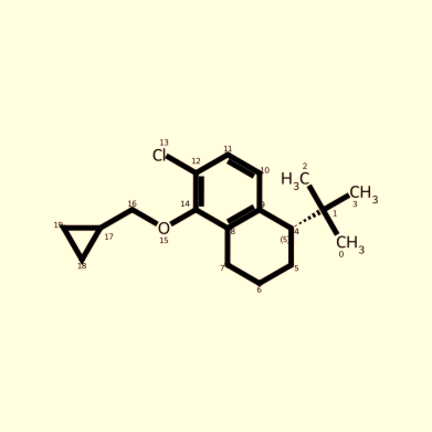 CC(C)(C)[C@@H]1CCCc2c1ccc(Cl)c2OCC1CC1